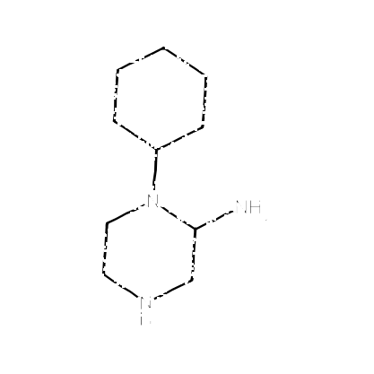 NC1CNCCN1C1CCCCC1